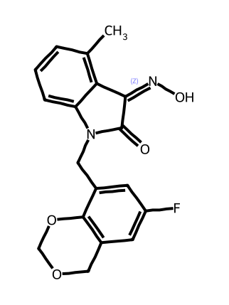 Cc1cccc2c1/C(=N/O)C(=O)N2Cc1cc(F)cc2c1OCOC2